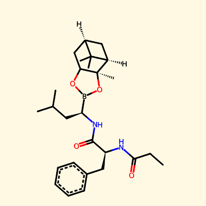 CCC(=O)N[C@@H](Cc1ccccc1)C(=O)N[C@@H](CC(C)C)B1OC2C[C@H]3C[C@H](C3(C)C)[C@@]2(C)O1